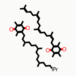 CC(C)=CCCC(C)=CCCC(C)=CCCC(C)=CCC1=C(C)C(=O)C(C)=C(C)C1=O.CC1=C(C)C(=O)C(CCC(C)CCCC(C)CCCC(C)CCCC(C)C)=C(C)C1=O